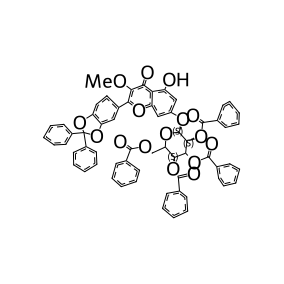 COc1c(-c2ccc3c(c2)OC(c2ccccc2)(c2ccccc2)O3)oc2cc(O[C@@H]3OC(COC(=O)c4ccccc4)[C@H](OC(=O)c4ccccc4)C(OC(=O)c4ccccc4)[C@@H]3OC(=O)c3ccccc3)cc(O)c2c1=O